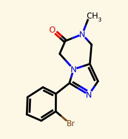 CN1Cc2cnc(-c3ccccc3Br)n2CC1=O